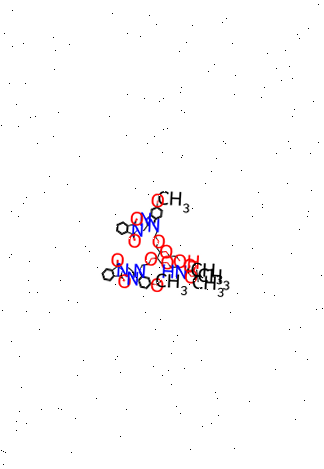 COc1ccc2c(c1)nc(CN1C(=O)c3ccccc3C1=O)n2CCOCC(OCCO)C(COCCNC(=O)OC(C)(C)C)OCCn1c(CN2C(=O)c3ccccc3C2=O)nc2ccc(OC)cc21